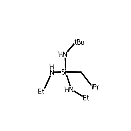 CCN[Si](CC(C)C)(NCC)NC(C)(C)C